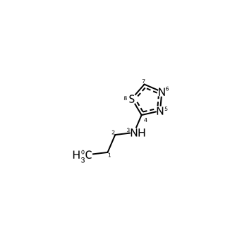 CCCNc1nncs1